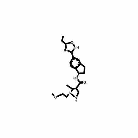 CCC1NC(c2ccc3c(c2)CC[C@H]3NC(=O)C2CNN(CCOC)C2C)NO1